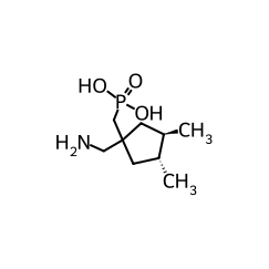 C[C@@H]1CC(CN)(CP(=O)(O)O)C[C@H]1C